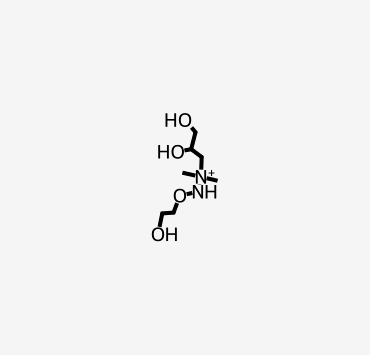 C[N+](C)(CC(O)CO)NOCCO